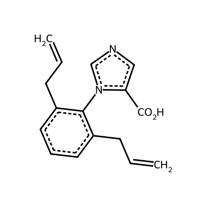 C=CCc1cccc(CC=C)c1-n1cncc1C(=O)O